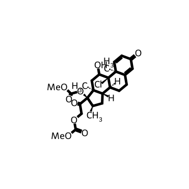 COC(=O)OCC(=O)[C@@]1(OC(=O)OC)[C@H](C)C[C@H]2[C@@H]3CCC4=CC(=O)C=C[C@]4(C)[C@@]3(Cl)C(O)C[C@@]21C